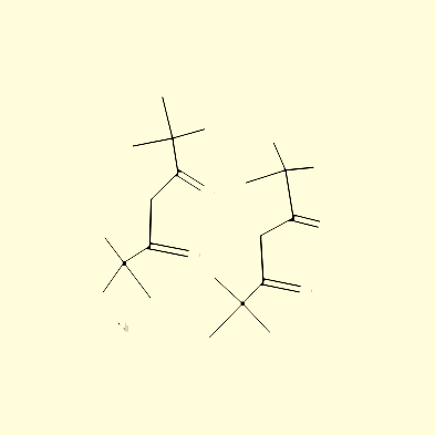 CC(C)(C)C(=O)CC(=O)C(C)(C)C.CC(C)(C)C(=O)CC(=O)C(C)(C)C.[Ni]